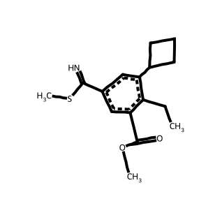 CCc1c(C(=O)OC)cc(C(=N)SC)cc1C1CCC1